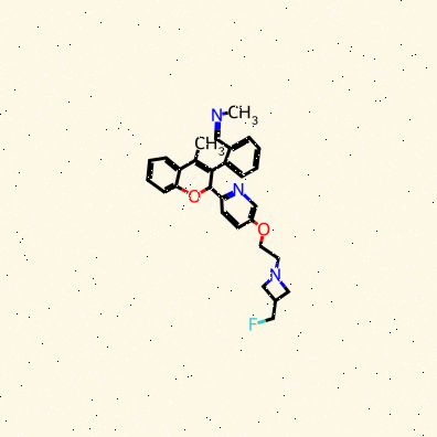 C/N=C\c1ccccc1C1=C(C)c2ccccc2OC1c1ccc(OCCN2CC(CF)C2)cn1